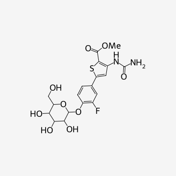 COC(=O)c1sc(-c2ccc(OC3OC(CO)C(O)C(O)C3O)c(F)c2)cc1NC(N)=O